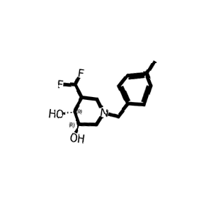 Cc1ccc(CN2CC(C(F)F)[C@@H](O)[C@H](O)C2)cc1